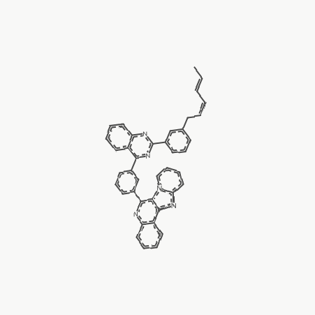 C/C=C/C=C\Cc1cccc(-c2nc(-c3cccc(-c4nc5ccccc5c5nc6ccccn6c45)c3)c3ccccc3n2)c1